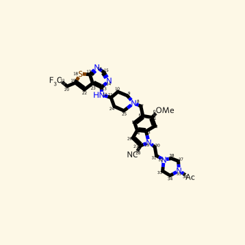 COc1cc2c(cc1CN1CCC(Nc3ncnc4sc(CC(F)(F)F)cc34)CC1)cc(C#N)n2CCN1CCN(C(C)=O)CC1